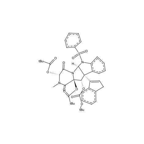 CN1C(=O)[C@@]2(OC(=O)C(C)(C)C)[C@@H](OC(=O)OC(C)(C)C)[C@]3(C4=CCc5ccccc54)c4ccccc4N(S(=O)(=O)c4ccccc4)[C@@H]3N2C(=O)[C@H]1OC(=O)C(C)(C)C